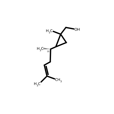 CC(C)=CC[C@H](C)C1CC1(C)CO